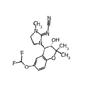 CN1CCN([C@@H]2c3cc(OC(F)F)ccc3OC(C)(C)[C@H]2O)C1=NC#N